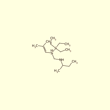 CCC(C)NC[SiH](C=C(C)C)[Si](CC)(CC)CC